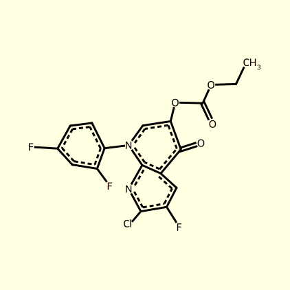 CCOC(=O)Oc1cn(-c2ccc(F)cc2F)c2nc(Cl)c(F)cc2c1=O